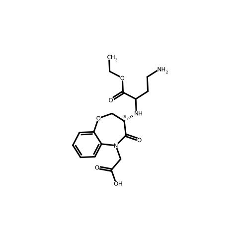 CCOC(=O)C(CCN)N[C@H]1COc2ccccc2N(CC(=O)O)C1=O